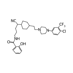 N#CC(CCCNC(=O)c1ccccc1O)C1CCC(CCN2CCN(c3ccc(Cl)c(C(F)(F)F)c3)CC2)CC1